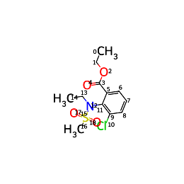 CCOC(=O)c1cccc(Cl)c1N(CC)S(C)(=O)=O